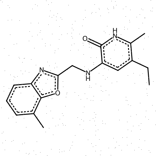 CCc1cc(NCc2nc3cccc(C)c3o2)c(=O)[nH]c1C